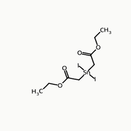 CCOC(=O)[CH2][Sn]([I])([I])[CH2]C(=O)OCC